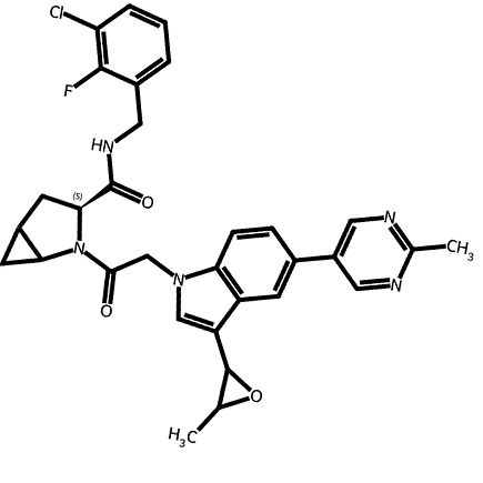 Cc1ncc(-c2ccc3c(c2)c(C2OC2C)cn3CC(=O)N2C3CC3C[C@H]2C(=O)NCc2cccc(Cl)c2F)cn1